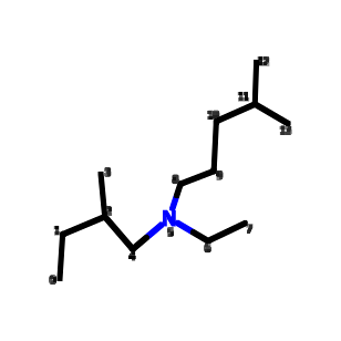 CCC(C)CN(CC)CCCC(C)C